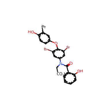 CC(C)c1cc(Oc2c(Br)cc(N(CC(=O)O)C(=O)c3ccccc3O)cc2Br)ccc1O